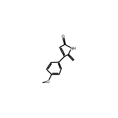 C=C1NC(=O)C=C1c1ccc(OC)cc1